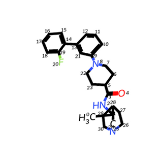 CC1(NC(=O)C2CCN(c3cccc(-c4ccccc4F)c3)CC2)CN2CCC1CC2